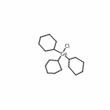 [Cl][Ge]([CH]1CCCCC1)([CH]1CCCCC1)[CH]1CCCCC1